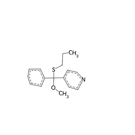 CCCSC(OC)(c1ccccc1)c1ccncc1